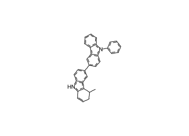 CC1CC=Cc2[nH]c3ccc(-c4ccc5c(c4)c4ccccc4n5-c4ccccc4)cc3c21